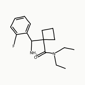 CCN(CC)C(=O)C1(C(N)c2ccccc2F)CCC1